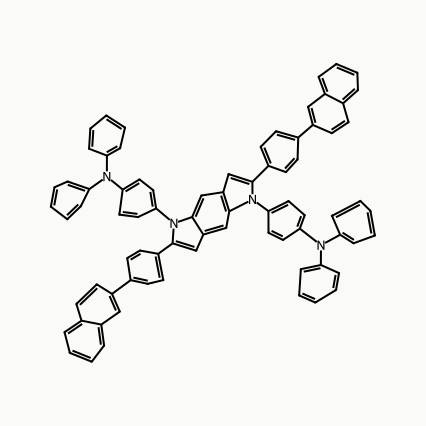 c1ccc(N(c2ccccc2)c2ccc(-n3c(-c4ccc(-c5ccc6ccccc6c5)cc4)cc4cc5c(cc(-c6ccc(-c7ccc8ccccc8c7)cc6)n5-c5ccc(N(c6ccccc6)c6ccccc6)cc5)cc43)cc2)cc1